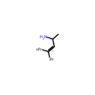 CCC/C(=C\C(C)N)C(C)C